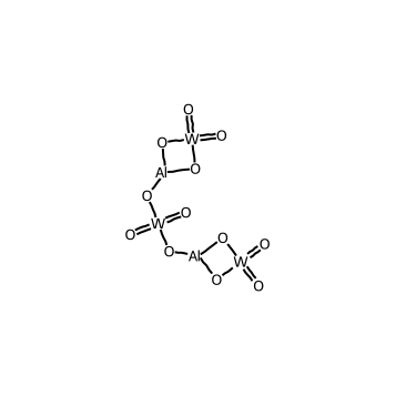 [O]=[W]1(=[O])[O][Al]([O][W](=[O])(=[O])[O][Al]2[O][W](=[O])(=[O])[O]2)[O]1